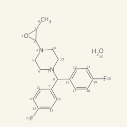 CC1OC1N1CCN(C(c2ccc(F)cc2)c2ccc(F)cc2)CC1.O